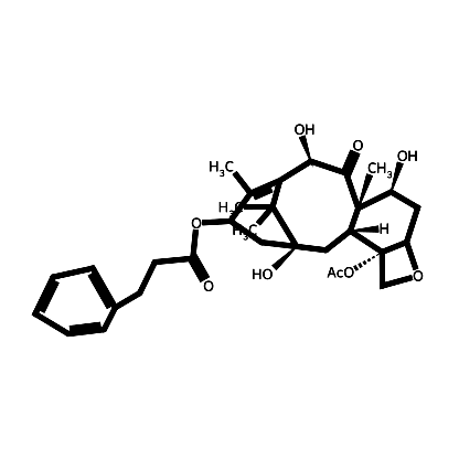 CC(=O)O[C@@]12COC1C[C@H](O)[C@@]1(C)C(=O)[C@H](O)C3=C(C)C(OC(=O)CCc4ccccc4)C[C@@](O)(C[C@H]12)C3(C)C